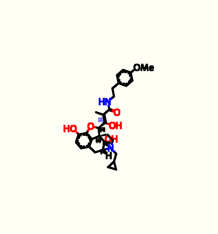 COc1ccc(CCNC(=O)/C(C)=C(\O)[C@@H]2Oc3c(O)ccc4c3[C@@]23CCN(CC2CC2)[C@H](C4)[C@@]3(C)O)cc1